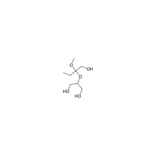 CCC(CO)(OC)OC(CO)CO